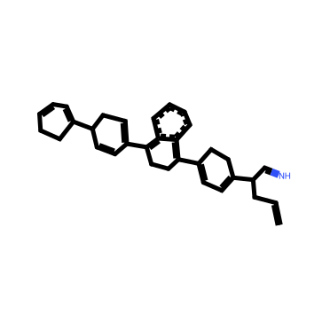 C=CCC(C=N)C1=CC=C(C2=c3ccccc3=C(C3=CCC(C4=CC=CCC4)C=C3)CC2)CC1